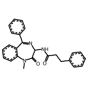 CN1C(=O)C(NC(=O)CCc2ccccc2)N=C(c2ccccc2)c2ccccc21